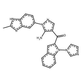 Cc1nc2cc(-n3ncc(C(=O)c4cc5ccccc5n4-n4ccnc4)c3N)ccc2[nH]1